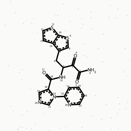 NC(=O)C(=O)C(Cc1csc2sccc12)NC(=O)c1cncn1-c1ccccn1